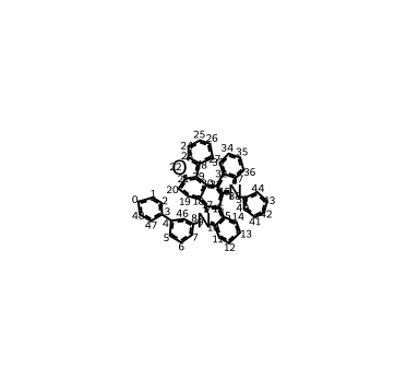 c1ccc(-c2cccc(-n3c4ccccc4c4c3c3ccc5oc6ccccc6c5c3c3c5ccccc5n(-c5ccccc5)c34)c2)cc1